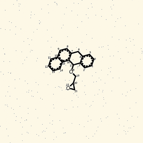 c1ccc2c(c1)Cc1ccc3ccccc3c1C2OCC1CO1